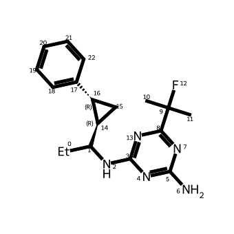 CCC(Nc1nc(N)nc(C(C)(C)F)n1)[C@@H]1C[C@H]1c1ccccc1